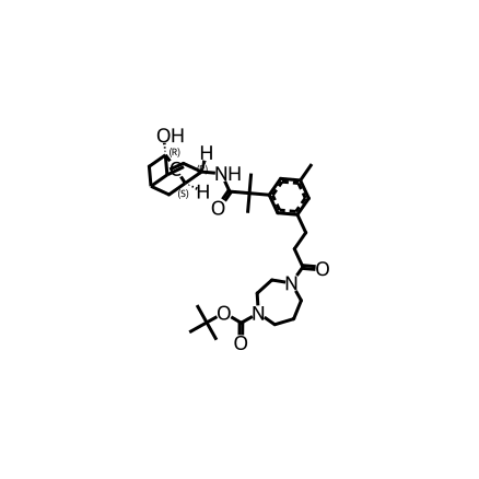 Cc1cc(CCC(=O)N2CCCN(C(=O)OC(C)(C)C)CC2)cc(C(C)(C)C(=O)N[C@H]2C=C3C4C[C@H]2C[C@]3(O)C4)c1